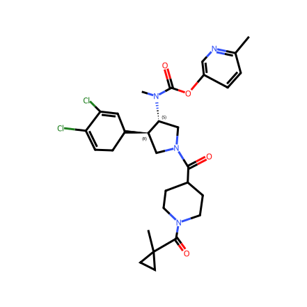 Cc1ccc(OC(=O)N(C)[C@@H]2CN(C(=O)C3CCN(C(=O)C4(C)CC4)CC3)C[C@H]2C2C=C(Cl)C(Cl)=CC2)cn1